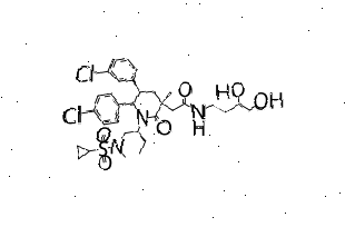 CC[C@@H](CN(C)S(=O)(=O)C1CC1)N1C(=O)[C@@](C)(CC(=O)NCCC(O)CO)C[C@H](c2cccc(Cl)c2)C1c1ccc(Cl)cc1